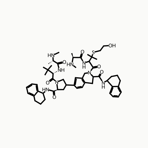 CN[C@@H](C)C(=O)NC(C(=O)N1Cc2cc(C3C[C@@H](C(=O)NC4CCCc5ccccc54)N(C(=O)[C@@H](NC(=O)[C@H](C)NC)C(C)(C)C)C3)ccc2CC1C(=O)NC1CCCc2ccccc21)C(C)(C)SCCO